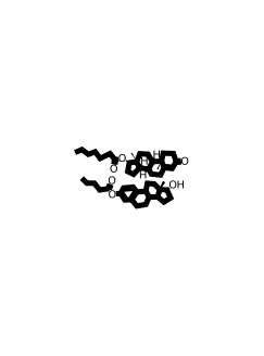 CCCCC(=O)Oc1ccc2c(c1)CCC1C2CC[C@@]2(C)C1CC[C@@H]2O.CCCCCCC(=O)O[C@H]1CC[C@H]2[C@@H]3CCC4=CC(=O)CC[C@]4(C)[C@H]3CC[C@]12C